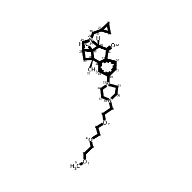 COCCOCCOCCN1CCN(c2ccc3c(c2)[C@]2(C)CC4CN(CC5CC5)[C@H](C3=O)C42C)CC1